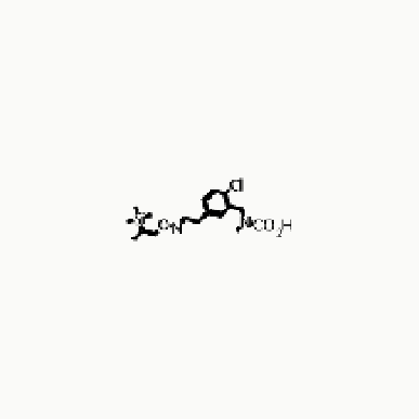 CC(CON=CCc1ccc(Cl)c(CN(C)C(=O)O)c1)[Si](C)(C)C